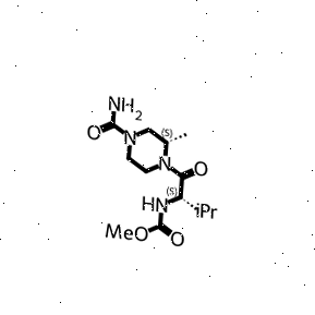 COC(=O)N[C@H](C(=O)N1CCN(C(N)=O)C[C@@H]1C)C(C)C